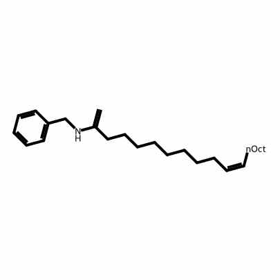 C=C(CCCCCCCC/C=C\CCCCCCCC)NCc1ccccc1